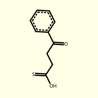 O=C(CCC(O)=S)c1ccccc1